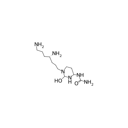 NCCC[C@H](N)CCCN1CCC(NC(N)=O)NC1O